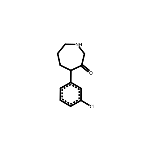 O=C1CNCCCC1c1cccc(Cl)c1